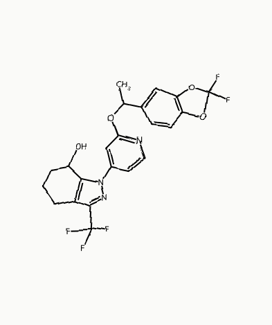 CC(Oc1cc(-n2nc(C(F)(F)F)c3c2C(O)CCC3)ccn1)c1ccc2c(c1)OC(F)(F)O2